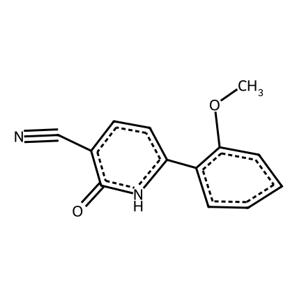 COc1ccccc1-c1ccc(C#N)c(=O)[nH]1